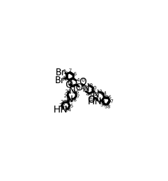 O=C(O[C@H](Cc1ccc(Br)c(Br)c1)C(=O)N1CCCN(C2CCNCC2)CC1)N1CCC(N2CCc3ccccc3NC2=O)CC1